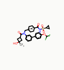 O=C(C1CC(O)(C(F)(F)F)C1)N(CC12CCC(C(=O)NS(=O)(=O)C3CC3)(CC1)CC2)c1cccc(-c2ccc(OC(F)F)cc2)c1